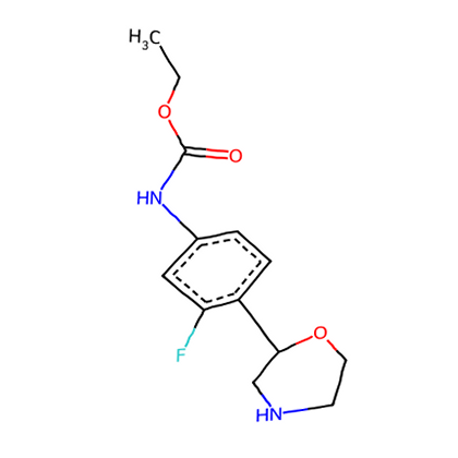 CCOC(=O)Nc1ccc(C2CNCCO2)c(F)c1